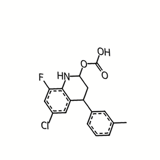 Cc1cccc(C2CC(OC(=O)O)Nc3c(F)cc(Cl)cc32)c1